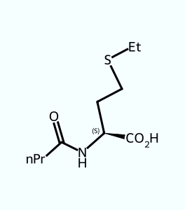 CCCC(=O)N[C@@H](CCSCC)C(=O)O